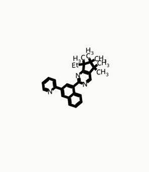 CCC1(C)c2nc(-c3cc(-c4ccccn4)cc4ccccc34)ncc2C(C)(C)C1(C)C